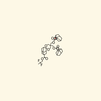 CC(F)(F)COC(=O)C12CC3CC(C1)C1(OCC(COC(=O)C45CC6CC(C4)C(=O)C(C6)C5)(COC(=O)C45CC6CC(C4)C(=O)C(C6)C5)CO1)C(C3)C2